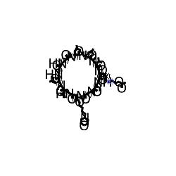 CC[C@@H]1NC(=O)[C@@H]2[C@@H]([C@H](C)C/C=C/COC(C)=O)ON2C(=O)[C@H](C(C)C)N(C)C(=O)[C@H](CC(C)C)N(C)C(=O)[C@H](CC(C)C)N(C)C(=O)[C@@H](C)NC(=O)[C@H](C)NC(=O)[C@H](CC(C)C)N(C)C(=O)[C@H](C(C)C)NC(=O)[C@H]([C@@H](C)OCCCCN2CCOCC2)N(C)C(=O)[C@@H](C)N(C)C1=O